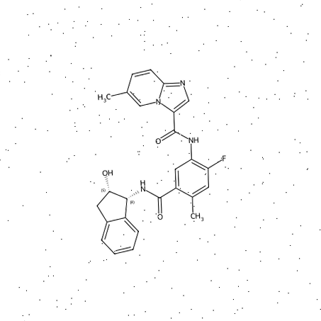 Cc1ccc2ncc(C(=O)Nc3cc(C(=O)N[C@@H]4c5ccccc5C[C@@H]4O)c(C)cc3F)n2c1